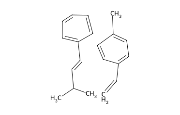 C=Cc1ccc(C)cc1.CC(C)C=Cc1ccccc1